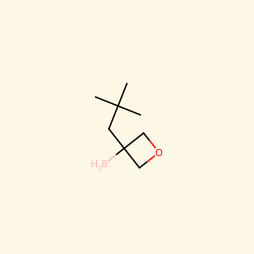 BC1(CC(C)(C)C)COC1